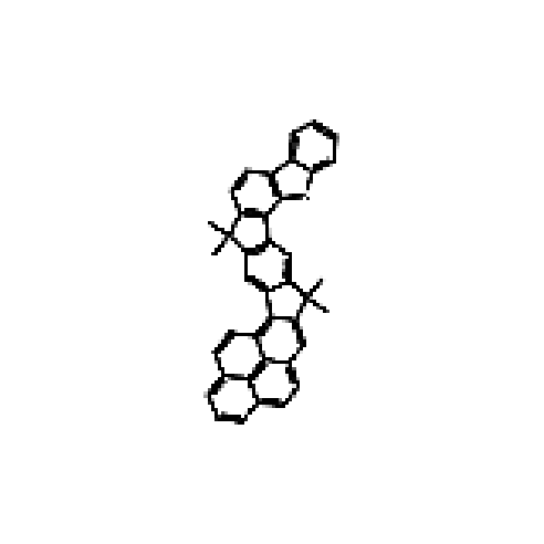 CC1(C)c2cc3c(cc2-c2c1cc1ccc4cccc5ccc2c1c45)C(C)(C)c1ccc2c(sc4ccccc42)c1-3